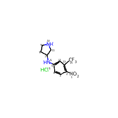 Cl.O=[N+]([O-])c1ccc(NC2CCNC2)cc1C(F)(F)F